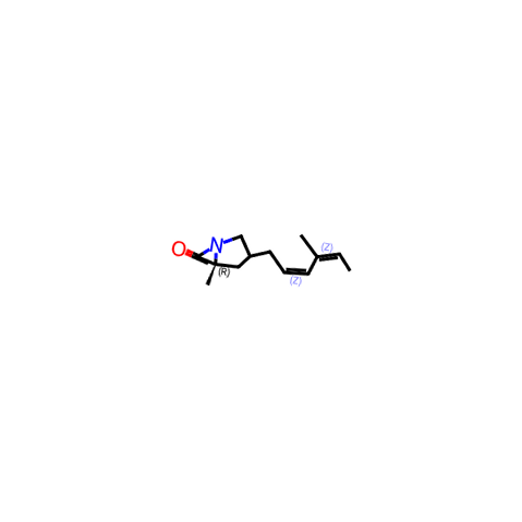 C/C=C(C)\C=C/CC1CN2C(=O)[C@@]2(C)C1